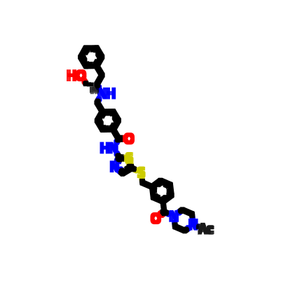 CC(=O)N1CCN(C(=O)c2cccc(CSc3cnc(NC(=O)c4ccc(CN[C@H](CO)Cc5ccccc5)cc4)s3)c2)CC1